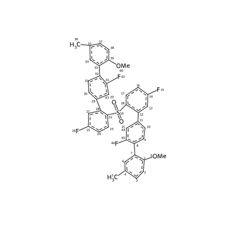 COc1ccc(C)cc1-c1ccc(-c2cc(F)ccc2S(=O)(=O)c2ccc(F)cc2-c2ccc(-c3cc(C)ccc3OC)c(F)c2)cc1F